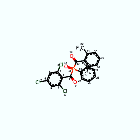 O=C(c1c(Cl)cc(Cl)cc1Cl)P(=O)(C(=O)c1c(C(F)(F)F)cccc1C(F)(F)F)c1ccccc1